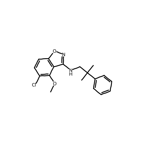 COc1c(Cl)ccc2onc(NCC(C)(C)c3ccccc3)c12